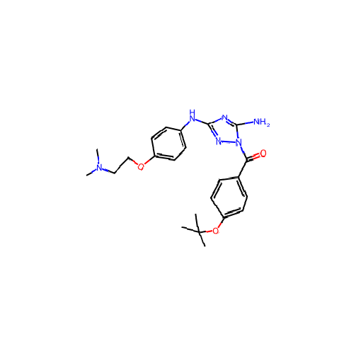 CN(C)CCOc1ccc(Nc2nc(N)n(C(=O)c3ccc(OC(C)(C)C)cc3)n2)cc1